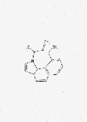 C=CC(C)N1C=CN2C=Cc3cccc(CC)c3C21